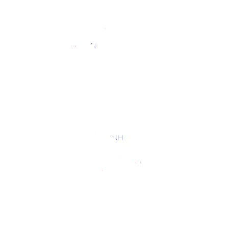 C#CC(NC(=O)OC(C)(C)C)C1CCc2c1cccc2[N+](=O)[O-]